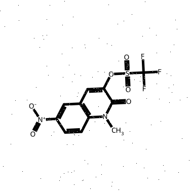 Cn1c(=O)c(OS(=O)(=O)C(F)(F)F)cc2cc([N+](=O)[O-])ccc21